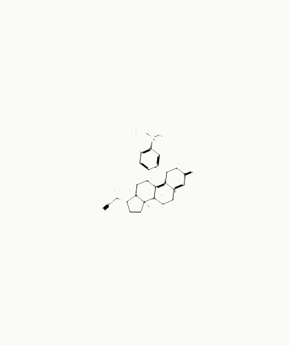 C#CC[C@@H]1CC[C@H]2[C@@H]3CCC4=CC(=O)CCC4=C3[C@@H](c3ccc(N(C)C)cc3)C[C@]12C